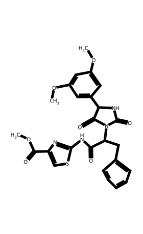 COC(=O)c1csc(NC(=O)C(Cc2ccccc2)N2C(=O)NC(c3cc(OC)cc(OC)c3)C2=O)n1